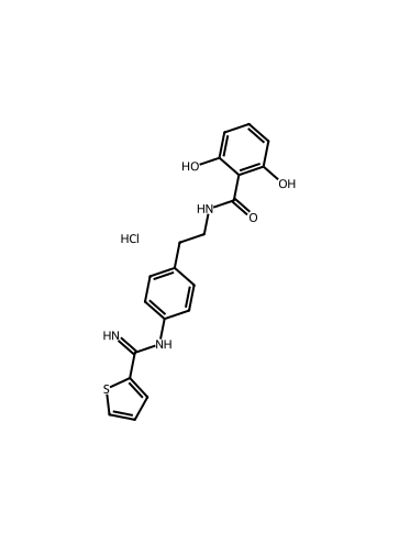 Cl.N=C(Nc1ccc(CCNC(=O)c2c(O)cccc2O)cc1)c1cccs1